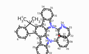 CC1(C)c2ccccc2-c2c1c1c3ccccc3n(-c3ccccn3)c1c1c2c2ccccc2n1-c1ccccc1